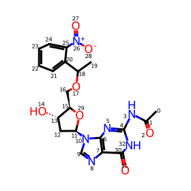 CC(=O)Nc1nc2c(ncn2[C@H]2C[C@H](O)[C@@H](COC(C)c3ccccc3[N+](=O)[O-])O2)c(=O)[nH]1